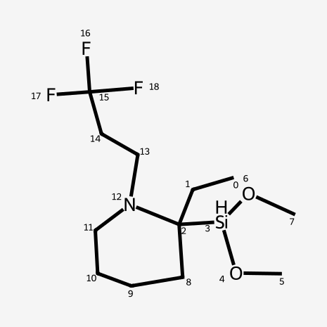 CCC1([SiH](OC)OC)CCCCN1CCC(F)(F)F